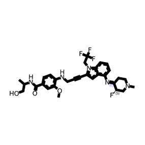 COc1cc(C(=O)NC(C)CO)ccc1NCC#Cc1cc2c(/N=C3\CCN(C)C[C@@H]3F)cccc2n1CC(F)(F)F